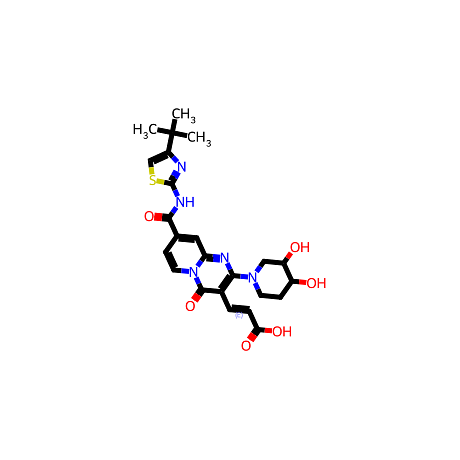 CC(C)(C)c1csc(NC(=O)c2ccn3c(=O)c(/C=C/C(=O)O)c(N4CCC(O)C(O)C4)nc3c2)n1